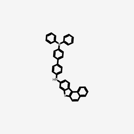 c1ccc(N(c2ccccc2)c2ccc(-c3ccc(Nc4ccc5c(c4)sc4ccc6ccccc6c45)cc3)cc2)cc1